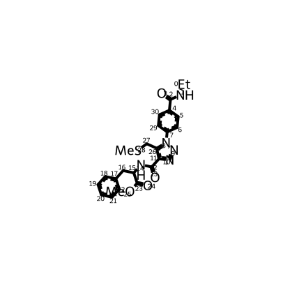 CCNC(=O)c1ccc(-n2nnc(C(=O)NC(Cc3ccccc3)C(=O)OC)c2CSC)cc1